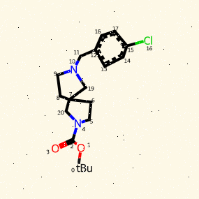 CC(C)(C)OC(=O)N1CCC2(CCN(Cc3ccc(Cl)cc3)C2)C1